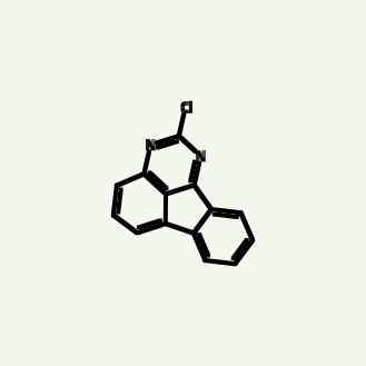 Clc1nc2c3c(cccc3n1)-c1ccccc1-2